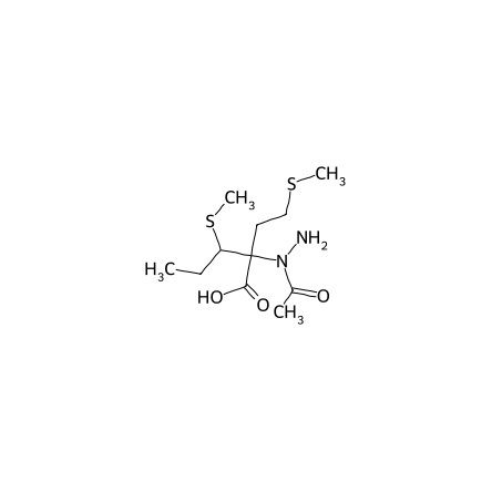 CCC(SC)C(CCSC)(C(=O)O)N(N)C(C)=O